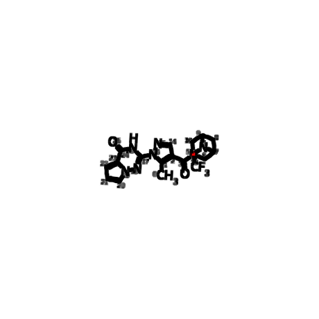 Cc1c(C(=O)N2CC3CC(C2)N3CC(F)(F)F)cnn1-c1nn2cccc2c(=O)[nH]1